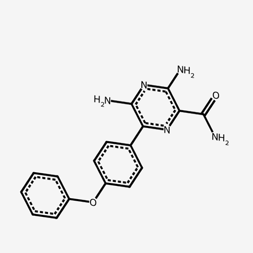 NC(=O)c1nc(-c2ccc(Oc3ccccc3)cc2)c(N)nc1N